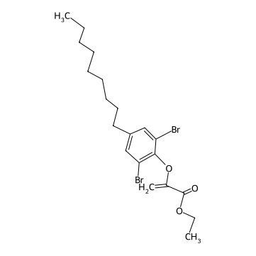 C=C(Oc1c(Br)cc(CCCCCCCCC)cc1Br)C(=O)OCC